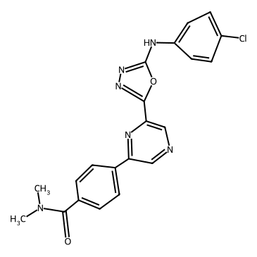 CN(C)C(=O)c1ccc(-c2cncc(-c3nnc(Nc4ccc(Cl)cc4)o3)n2)cc1